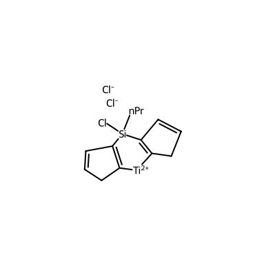 CCC[Si]1(Cl)C2=[C](CC=C2)[Ti+2][C]2=C1C=CC2.[Cl-].[Cl-]